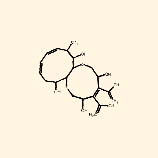 C=C(O)/C1=C(\C(=C)O)C(O)CSC2C(O)C(C)/C=C\C=C/CC(O)C2SCC1O